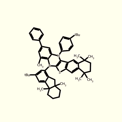 Cc1cc(-c2ccccc2)cc2c1B(c1cc(C(C)(C)C)cc3c1CC1(C)CCCCC31C)c1sc3cc4c(cc3c1N2c1ccc(C(C)(C)C)cc1)C(C)(C)CCC4(C)C